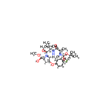 COC(=O)[C@@H]1C[C@H](Oc2ccc(F)cc2)CN1C(=O)[C@@H](NC(=O)[C@H](C)N(C)C(=O)OC(C)(C)C)C(C)(C)C